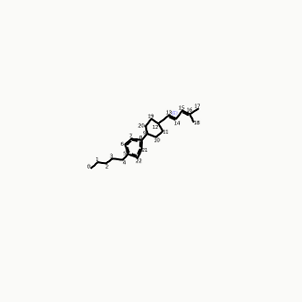 CCCCCc1ccc(C2CCC(/C=C/C=C(C)C)CC2)cc1